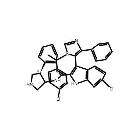 CC(c1ccc(Cl)cc1)n1cnc(-c2ccccc2)c1-c1c(C(=O)NC2CNC[C@H]2c2ccccc2)[nH]c2cc(Cl)ccc12